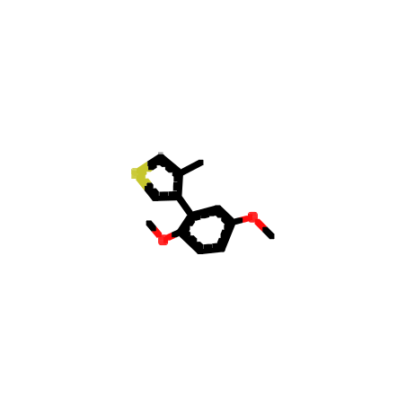 COc1ccc(OC)c(-c2cs[c]c2C)c1